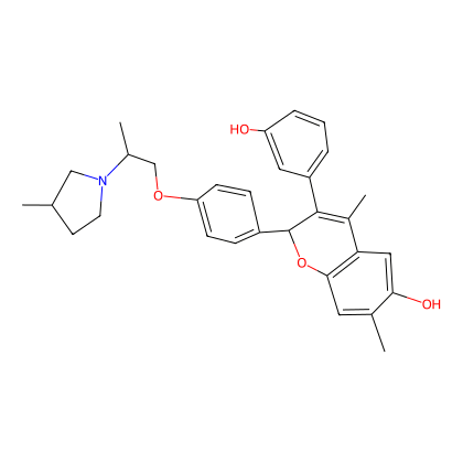 CC1=C(c2cccc(O)c2)C(c2ccc(OCC(C)N3CCC(C)C3)cc2)Oc2cc(C)c(O)cc21